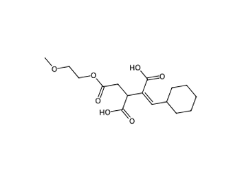 COCCOC(=O)CC(C(=O)O)C(=CC1CCCCC1)C(=O)O